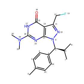 Cc1ccc([C@H](C(C)C)n2nc(CF)c3c(=O)[nH]c(N(C)C)nc32)cc1